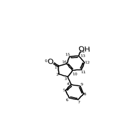 O=C1CC(c2ccccc2)c2ccc(O)cc21